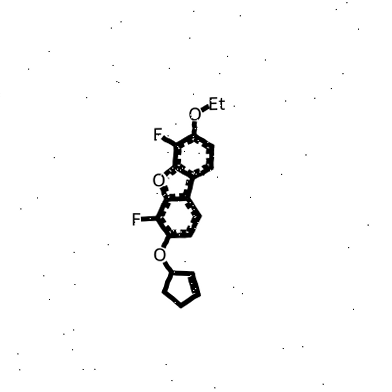 CCOc1ccc2c(oc3c(F)c(OC4C=CCC4)ccc32)c1F